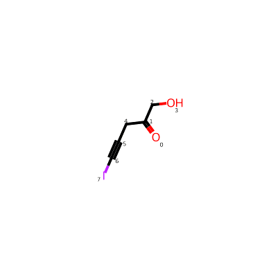 O=C(CO)CC#CI